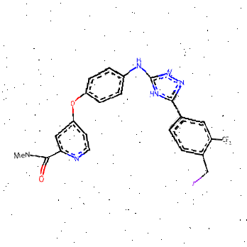 CNC(=O)c1cc(Oc2ccc(Nc3nnc(-c4ccc(CI)c(C(F)(F)F)c4)[nH]3)cc2)ccn1